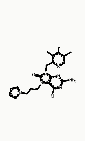 Cc1cnc(Cn2c(=O)n(CCCn3cccc3)c3c(Cl)nc(N)nc32)c(C)c1I